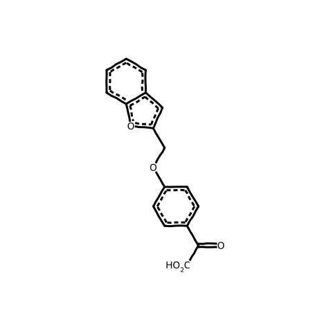 O=C(O)C(=O)c1ccc(OCc2cc3ccccc3o2)cc1